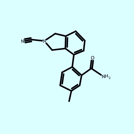 Cc1ccc(-c2cccc3c2CN(C#N)C3)c(C(N)=O)c1